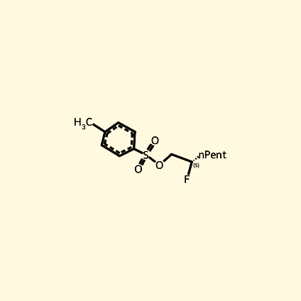 CCCCC[C@H](F)COS(=O)(=O)c1ccc(C)cc1